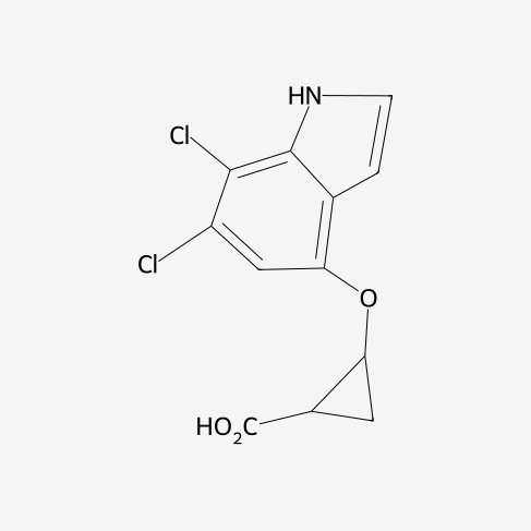 O=C(O)C1CC1Oc1cc(Cl)c(Cl)c2[nH]ccc12